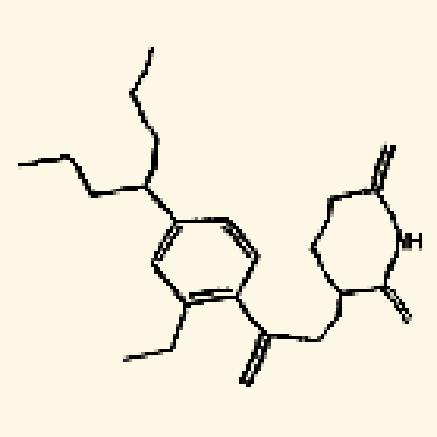 C=C1CCC(CC(=C)c2ccc(C(CCC)CCC)cc2CC)C(=C)N1